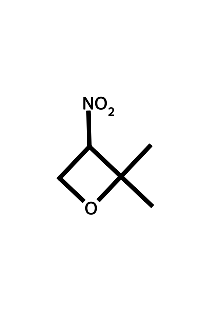 CC1(C)OCC1[N+](=O)[O-]